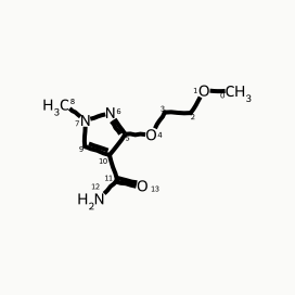 COCCOc1nn(C)cc1C(N)=O